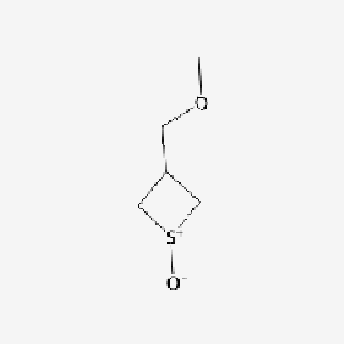 COCC1C[S+]([O-])C1